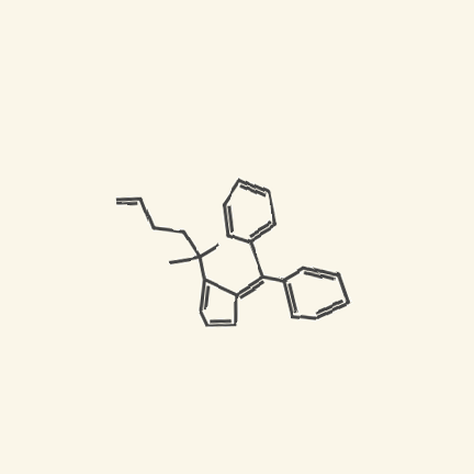 C=CCCC(C)(C)C1=CC=CC1=C(c1ccccc1)c1ccccc1